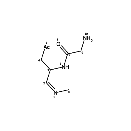 C/N=C\C(CC(C)=O)NC(=O)CN